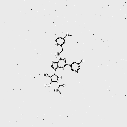 CNC(=O)[C@H]1N[C@@H](n2cnc3c(NCc4cc(OC)ccn4)nc(-c4cncc(Cl)c4)nc32)[C@H](O)[C@@H]1O